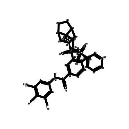 O=C(Nc1cc(F)c(F)c(F)c1)c1ccc(Cl)c(S(=O)(=O)[C@H]2CC3CCC(C2)[C@]3(O)CNS(=O)(=O)c2cccnc2)c1